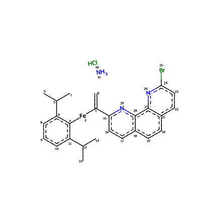 C=[C]([Fe][c]1c(C(C)C)cccc1C(C)C)c1ccc2ccc3ccc(Br)nc3c2n1.Cl.N